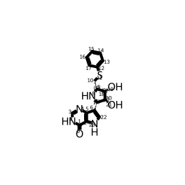 O=c1[nH]cnc2c([C@@H]3N[C@H](CSc4ccccc4)[C@@H](O)[C@H]3O)c[nH]c12